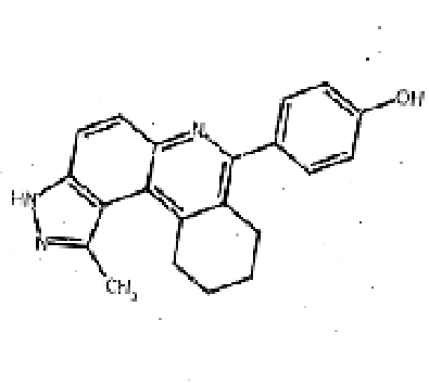 Cc1n[nH]c2ccc3nc(-c4ccc(O)cc4)c4c(c3c12)CCCC4